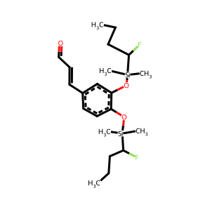 CCCC(F)[Si](C)(C)Oc1ccc(C=CC=O)cc1O[Si](C)(C)C(F)CCC